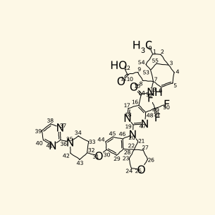 CC1CC2CC=CC(CCC(=O)O)(NC(=O)c3cnc(N4CC5(CCOCC5)c5cc(OC6CCN(c7ncccn7)CC6)ccc54)nc3C(F)(F)F)C(C1)C2